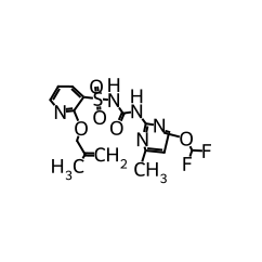 C=C(C)COc1ncccc1S(=O)(=O)NC(=O)Nc1nc(C)cc(OC(F)F)n1